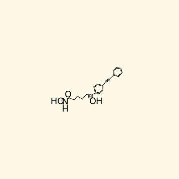 O=C(CCCC[C@@H](O)c1ccc(C#Cc2ccccc2)cc1)NO